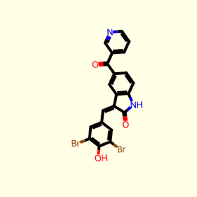 O=C1Nc2ccc(C(=O)c3cccnc3)cc2C1=Cc1cc(Br)c(O)c(Br)c1